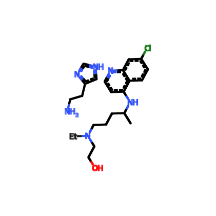 CCN(CCO)CCCC(C)Nc1ccnc2cc(Cl)ccc12.NCCc1c[nH]cn1